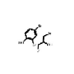 OC(CBr)CBr.Oc1ccc(Br)cc1Br